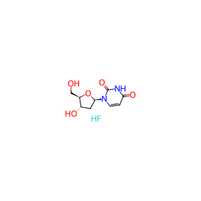 F.O=c1ccn([C@H]2C[C@H](O)[C@@H](CO)O2)c(=O)[nH]1